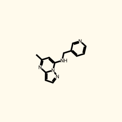 Cc1cc(NCc2cccnc2)n2nccc2n1